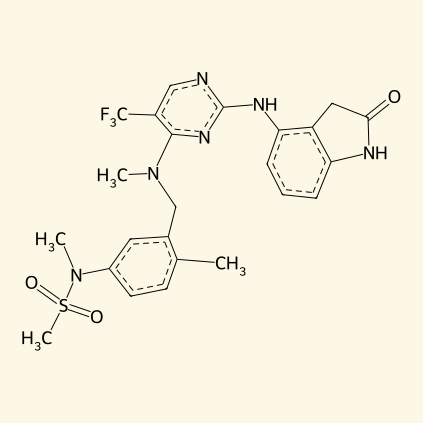 Cc1ccc(N(C)S(C)(=O)=O)cc1CN(C)c1nc(Nc2cccc3c2CC(=O)N3)ncc1C(F)(F)F